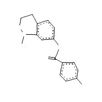 O=C(Nc1ccc2c(c1)B(O)OCC2)c1ccc(F)cc1